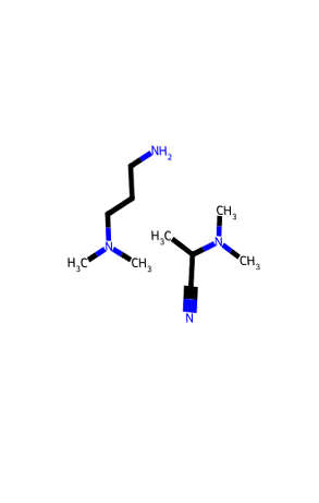 CC(C#N)N(C)C.CN(C)CCCN